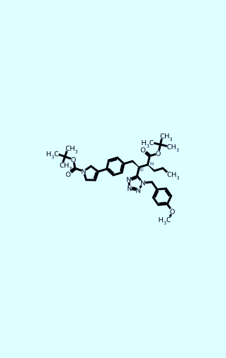 CCC[C@H](C(=O)OC(C)(C)C)[C@H](Cc1ccc(C2=CCN(C(=O)OC(C)(C)C)C2)cc1)c1nnnn1Cc1ccc(OC)cc1